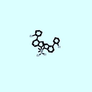 CCc1ccccc1-c1cccc2c1C=C[CH]2[Hf]([CH3])([CH3])([CH]1C=Cc2c(-c3ccccc3CC)cccc21)=[Si](CC)CC